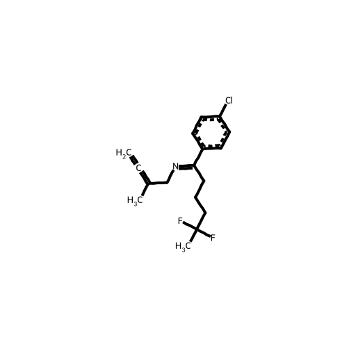 C=C=C(C)C/N=C(\CCCC(C)(F)F)c1ccc(Cl)cc1